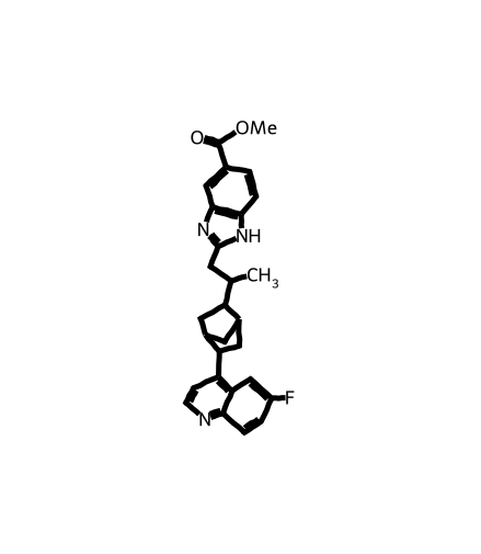 COC(=O)c1ccc2[nH]c(CC(C)C3CC4CC3CC4c3ccnc4ccc(F)cc34)nc2c1